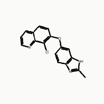 Cc1nc2ccc(Oc3ccc4cccnc4c3Cl)cc2[nH]1